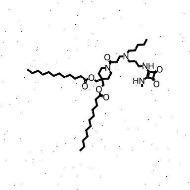 CCCCCCCCCCCC(=O)OCC1(COC(=O)CCCCCCCCCCC)CCN(C(=O)CCN(CCCCC)CCCNc2c(NC)c(=O)c2=O)CC1